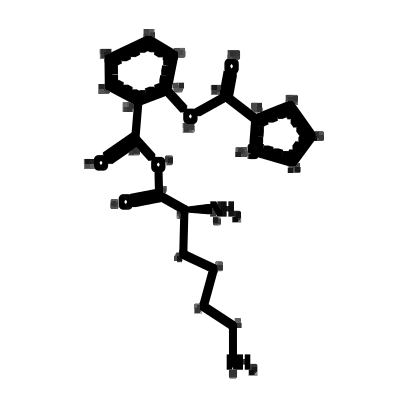 NCCCC[C@H](N)C(=O)OC(=O)c1ccccc1OC(=O)c1cccs1